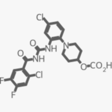 O=C(NC(=O)c1cc(F)c(F)cc1Cl)Nc1cc(Cl)ccc1N1CCC(OC(=O)O)CC1